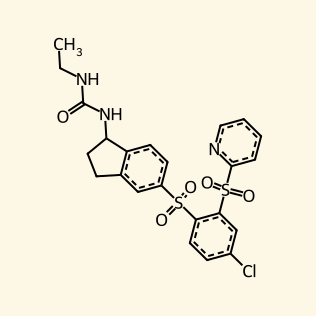 CCNC(=O)NC1CCc2cc(S(=O)(=O)c3ccc(Cl)cc3S(=O)(=O)c3ccccn3)ccc21